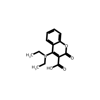 CCN(CC)c1c(C(=O)O)c(=O)oc2ccccc12